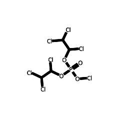 O=P(OCl)(OC(Cl)C(Cl)Cl)OC(Cl)C(Cl)Cl